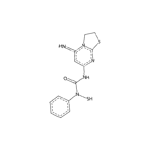 N=c1cc(NC(=O)N(S)c2ccccc2)nc2n1CCS2